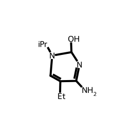 CCC1=CN(C(C)C)C(O)N=C1N